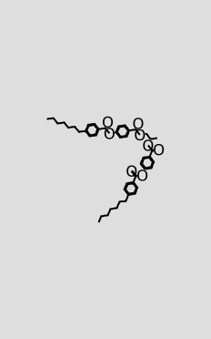 CCCCCCCc1ccc(C(=O)Oc2ccc(C(=O)OCC(C)OC(=O)c3ccc(OC(=O)c4ccc(CCCCCCC)cc4)cc3)cc2)cc1